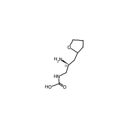 N[C@H](CNC(=O)O)CC1CCCO1